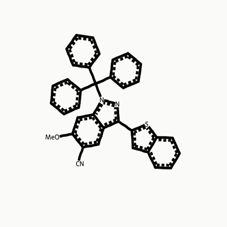 COc1cc2c(cc1C#N)c(-c1cc3ccccc3s1)nn2C(c1ccccc1)(c1ccccc1)c1ccccc1